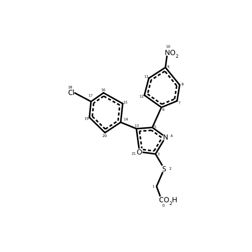 O=C(O)CSc1nc(-c2ccc([N+](=O)[O-])cc2)c(-c2ccc(Cl)cc2)o1